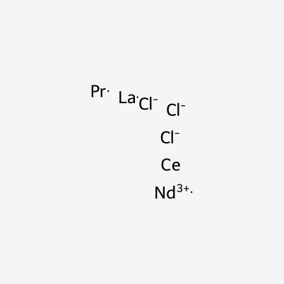 [Ce].[Cl-].[Cl-].[Cl-].[La].[Nd+3].[Pr]